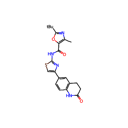 Cc1nc(C(C)(C)C)oc1C(=O)Nc1nc(-c2ccc3c(c2)CCC(=O)N3)cs1